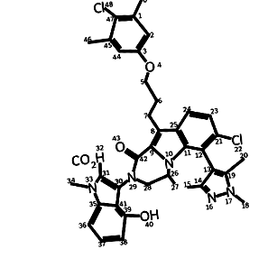 Cc1cc(OCCCc2c3n(c4c(-c5c(C)nn(C)c5C)c(Cl)ccc24)C(C)CN(c2c(C(=O)O)n(C)c4cccc(O)c24)C3=O)cc(C)c1Cl